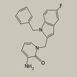 Nc1cccn(Cc2cc3cc(F)ccc3n2Cc2ccccc2)c1=O